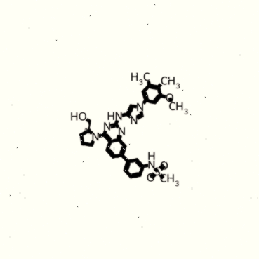 COc1cc(-n2cnc(Nc3nc(N4CCC[C@H]4CO)c4ccc(-c5cccc(NS(C)(=O)=O)c5)cc4n3)c2)cc(C)c1C